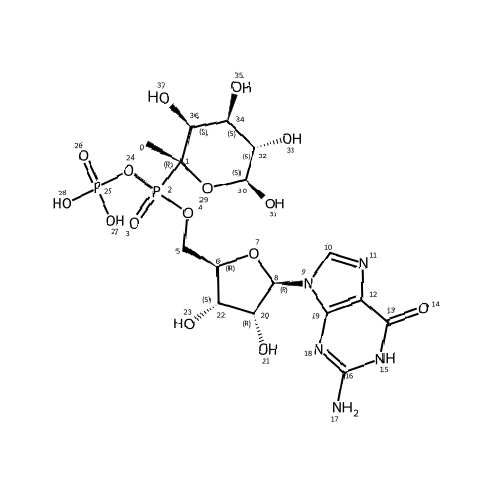 C[C@]1(P(=O)(OC[C@H]2O[C@@H](n3cnc4c(=O)[nH]c(N)nc43)[C@H](O)[C@@H]2O)OP(=O)(O)O)O[C@H](O)[C@@H](O)[C@H](O)[C@@H]1O